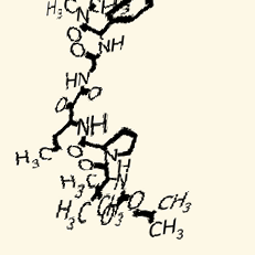 CCCC(NC(=O)C1CCCN1C(=O)[C@@H](NC(=O)OCC(C)C)C(C)(C)C)C(=O)C(=O)NCC(=O)N[C@H](C(=O)N(C)C)c1ccccc1